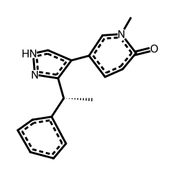 C[C@H](c1ccccc1)c1n[nH]cc1-c1ccc(=O)n(C)c1